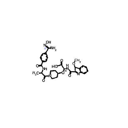 COC1C(C(=O)N[C@@H](OC2CCN(C(=O)C(C)NC(=O)c3ccc(/C(N)=N/O)cc3)CC2)C(=O)O)=Nc2ccccc21